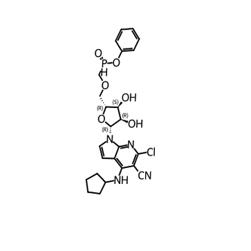 N#Cc1c(Cl)nc2c(ccn2[C@@H]2O[C@H](COC[PH](=O)Oc3ccccc3)[C@@H](O)[C@H]2O)c1NC1CCCC1